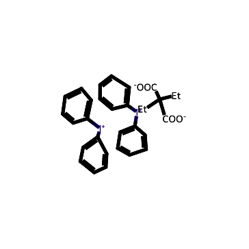 CCC(CC)(C(=O)[O-])C(=O)[O-].c1ccc([I+]c2ccccc2)cc1.c1ccc([I+]c2ccccc2)cc1